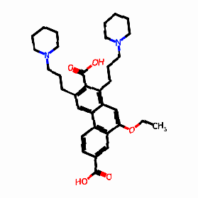 CCOc1cc2c(CCCN3CCCCC3)c(C(=O)O)c(CCCN3CCCCC3)cc2c2ccc(C(=O)O)cc12